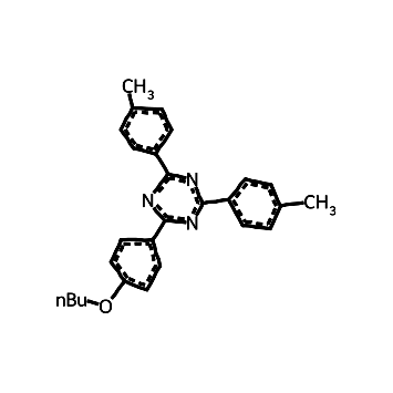 CCCCOc1ccc(-c2nc(-c3ccc(C)cc3)nc(-c3ccc(C)cc3)n2)cc1